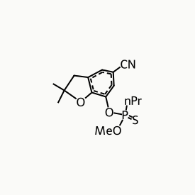 CCCP(=S)(OC)Oc1cc(C#N)cc2c1OC(C)(C)C2